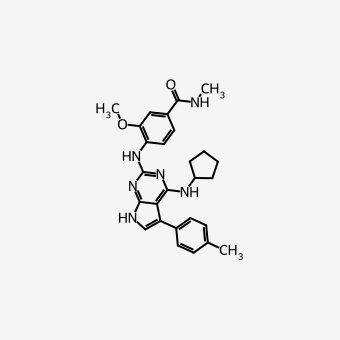 CNC(=O)c1ccc(Nc2nc(NC3CCCC3)c3c(-c4ccc(C)cc4)c[nH]c3n2)c(OC)c1